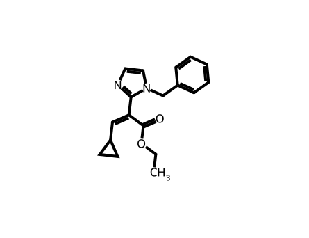 CCOC(=O)/C(=C\C1CC1)c1nccn1Cc1ccccc1